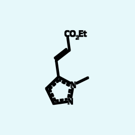 CCOC(=O)/C=C/c1ccnn1C